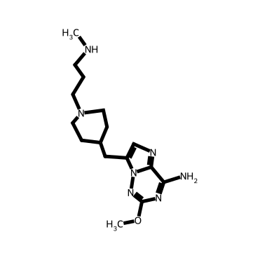 CNCCCN1CCC(Cc2cnc3c(N)nc(OC)nn23)CC1